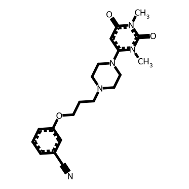 Cn1c(N2CCN(CCCOc3cccc(C#N)c3)CC2)cc(=O)n(C)c1=O